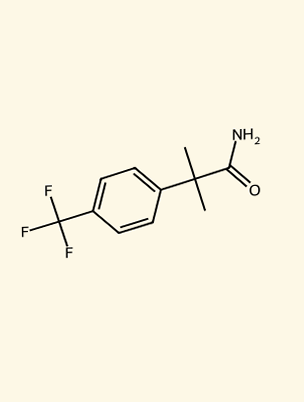 CC(C)(C(N)=O)c1ccc(C(F)(F)F)cc1